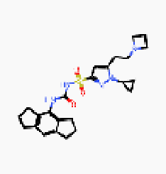 O=C(Nc1c2c(cc3c1CCC3)CCC2)NS(=O)(=O)c1cc(CCN2CCC2)n(C2CC2)n1